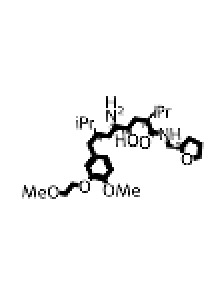 COCCOc1cc(C[C@@H](C[C@H](N)[C@@H](O)C[C@H](C(=O)NC[C@H]2CCCO2)C(C)C)C(C)C)ccc1OC